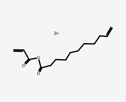 C=CCCCCCCCCC(=O)OC(=O)C=C.[Zn]